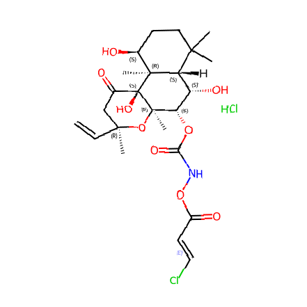 C=C[C@@]1(C)CC(=O)[C@]2(O)[C@@]3(C)[C@@H](O)CCC(C)(C)[C@@H]3[C@H](O)[C@H](OC(=O)NOC(=O)/C=C/Cl)[C@@]2(C)O1.Cl